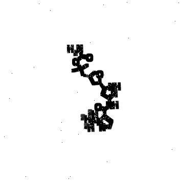 [2H]C([2H])([2H])n1nccc1C(=O)Nc1cc([C@H]2C[C@H](CC(C)(C)OC(N)=O)CO2)[nH]n1